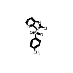 Cc1ccc(S(=O)(=O)n2c(Cl)nc3cccnc32)cc1